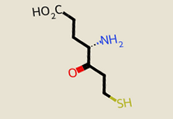 N[C@@H](CCC(=O)O)C(=O)CCS